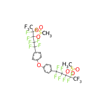 CS(=O)(=O)OC(F)(C(F)(F)C(F)(F)F)C(F)(F)C(F)(F)c1ccc(Oc2ccc(C(F)(F)C(F)(F)C(F)(OS(C)(=O)=O)C(F)(F)C(F)(F)F)cc2)cc1